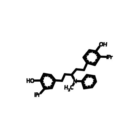 CC(C)c1cc(CCC(CCc2ccc(O)c(C(C)C)c2)N(C)c2ccccc2)ccc1O